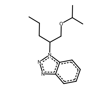 CCCC(COC(C)C)n1nnc2ccccc21